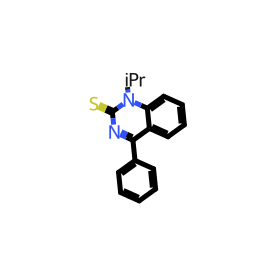 CC(C)n1c(=S)nc(-c2ccccc2)c2ccccc21